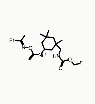 C=C(NC1CC(C)(C)CC(C)(CNC(=O)OCF)C1)ON=C(C)CC